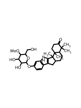 COC1C(CO)OC(Oc2ccc3c4c([nH]c3c2)C2(C)C(CCC3C(C)(C)C(=O)CCC32C)C4)C(O)C1O